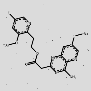 CC(C)(C)Oc1cc(F)cnc1CCOC(=O)Cc1nc(N)c2ncc(SC(C)(C)C)cc2n1